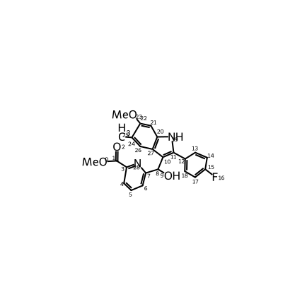 COC(=O)c1cccc(C(O)c2c(-c3ccc(F)cc3)[nH]c3cc(OC)c(C)cc23)n1